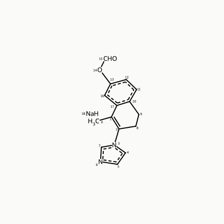 CC1=C(n2ccnc2)CCc2ccc(OC=O)cc21.[NaH]